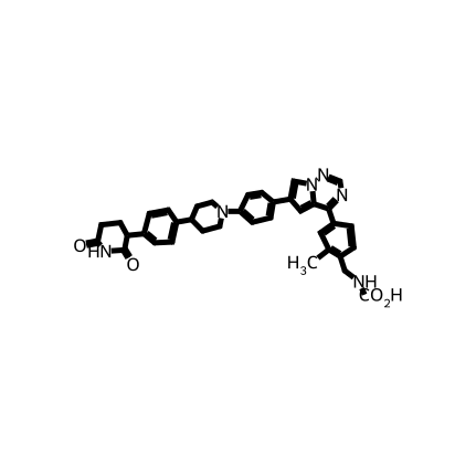 Cc1cc(-c2ncnn3cc(-c4ccc(N5CCC(c6ccc(C7CCC(=O)NC7=O)cc6)CC5)cc4)cc23)ccc1CNC(=O)O